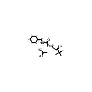 CC(=O)O.CC(C)(C)C(=O)OCOC(=O)NCC1CCCCC1